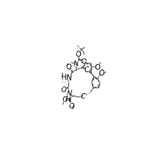 COC(=O)[C@@H]1CCCc2ccc(OC)c(c2)-c2cc(ccc2OC)[C@H](N(C)C(=O)OC(C)(C)C)C(=O)N[C@@H](C)C(=O)N1